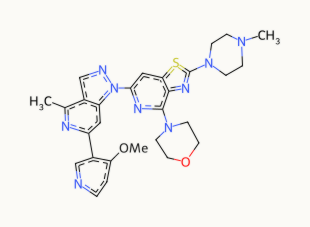 COc1ccncc1-c1cc2c(cnn2-c2cc3sc(N4CCN(C)CC4)nc3c(N3CCOCC3)n2)c(C)n1